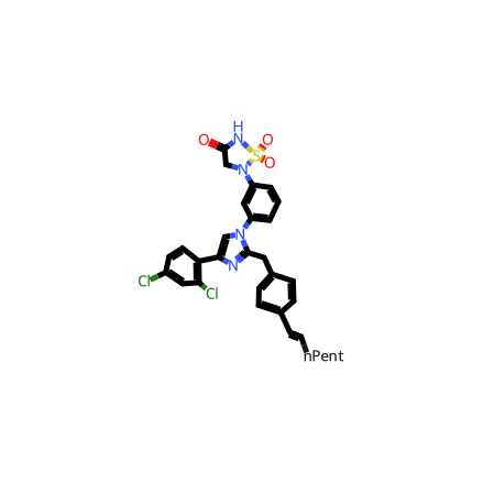 CCCCC/C=C/c1ccc(Cc2nc(-c3ccc(Cl)cc3Cl)cn2-c2cccc(N3CC(=O)NS3(=O)=O)c2)cc1